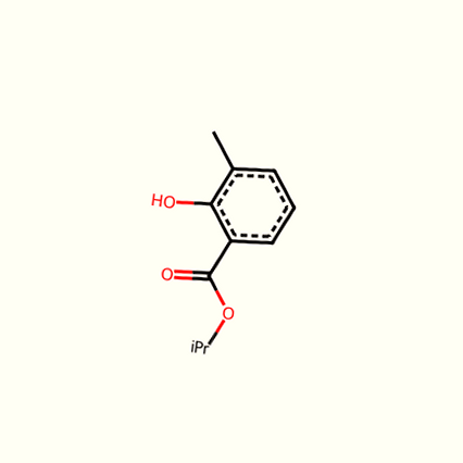 Cc1cccc(C(=O)OC(C)C)c1O